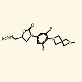 CC(=O)NC[C@@H]1CN(c2cc(F)c(N3CC4(CN(C)C4)C3)c(F)c2)C(=O)O1